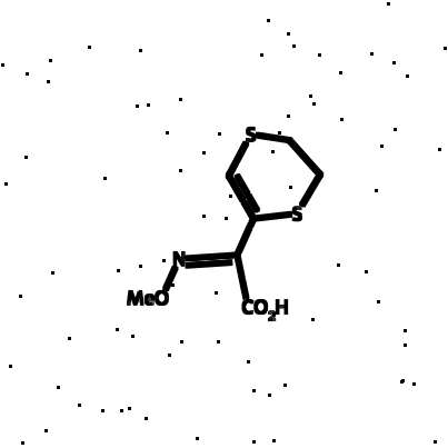 CO/N=C(\C(=O)O)C1=CSCCS1